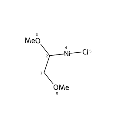 COC[CH](OC)[Ni][Cl]